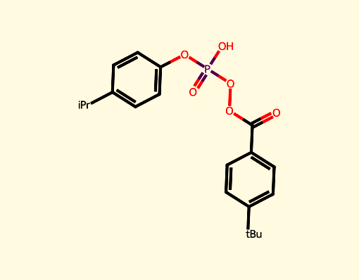 CC(C)c1ccc(OP(=O)(O)OOC(=O)c2ccc(C(C)(C)C)cc2)cc1